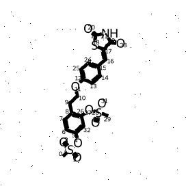 CS(=O)(=O)Oc1ccc(CCOc2ccc(/C=C3\SC(=O)NC3=O)cc2)c(OS(C)(=O)=O)c1